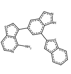 Nc1nccc2scc(-c3cc(-c4cc5ccccc5s4)c4[nH]ncc4c3)c12